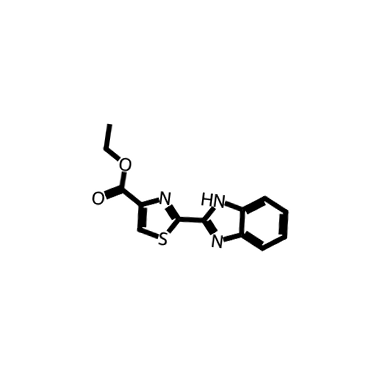 CCOC(=O)c1csc(-c2nc3ccccc3[nH]2)n1